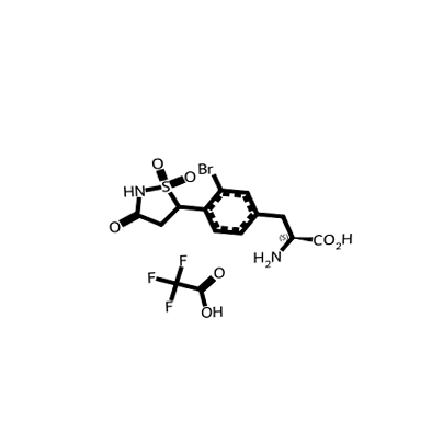 N[C@@H](Cc1ccc(C2CC(=O)NS2(=O)=O)c(Br)c1)C(=O)O.O=C(O)C(F)(F)F